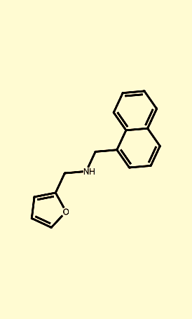 c1coc(CNCc2cccc3ccccc23)c1